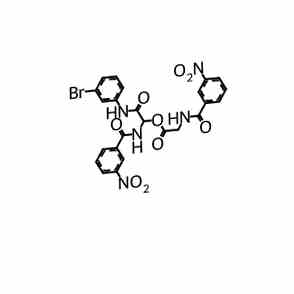 O=C(CNC(=O)c1cccc([N+](=O)[O-])c1)OC(NC(=O)c1cccc([N+](=O)[O-])c1)C(=O)Nc1cccc(Br)c1